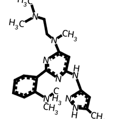 Cc1cc(Nc2cc(N(C)CCN(C)C)nc(-c3ccccc3N(C)C)n2)n[nH]1